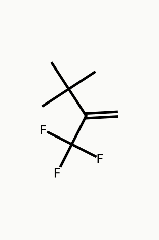 C=C(C(C)(C)C)C(F)(F)F